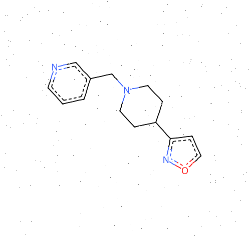 c1cncc(CN2CCC(c3ccon3)CC2)c1